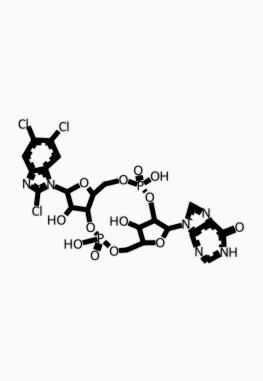 O=c1[nH]cnc2c1ncn2C1OC2COP(=O)(O)OC3C(COP(=O)(O)OC1C2O)OC(n1c(Cl)nc2cc(Cl)c(Cl)cc21)C3O